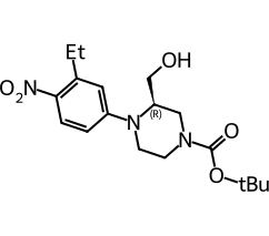 CCc1cc(N2CCN(C(=O)OC(C)(C)C)C[C@@H]2CO)ccc1[N+](=O)[O-]